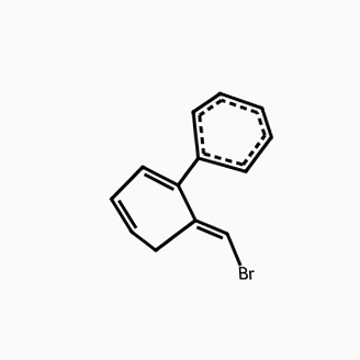 BrC=C1CC=CC=C1c1ccccc1